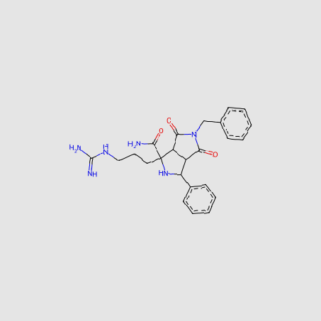 N=C(N)NCCCC1(C(N)=O)NC(c2ccccc2)C2C(=O)N(Cc3ccccc3)C(=O)C21